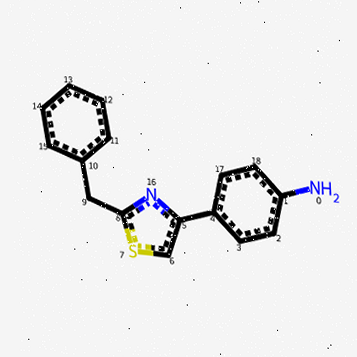 Nc1ccc(-c2csc(Cc3ccccc3)n2)cc1